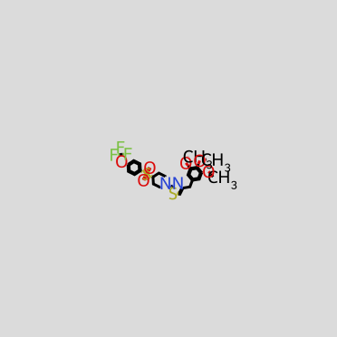 COc1cc(Cc2csc(N3CCC(S(=O)(=O)c4ccc(OC(F)(F)F)cc4)CC3)n2)cc(OC)c1OC